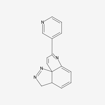 C1=CC2CN=NC23C=CC(c2cccnc2)=NC3=C1